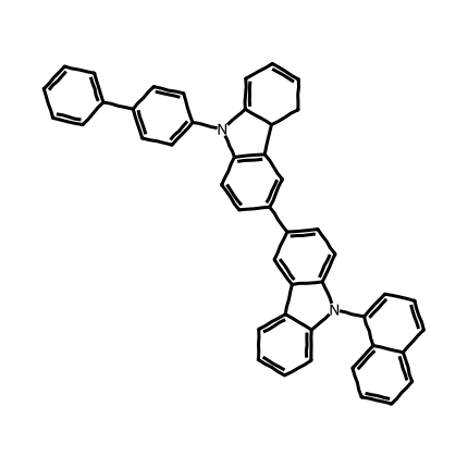 C1=CCC2C(=C1)N(c1ccc(-c3ccccc3)cc1)c1ccc(-c3ccc4c(c3)c3ccccc3n4-c3cccc4ccccc34)cc12